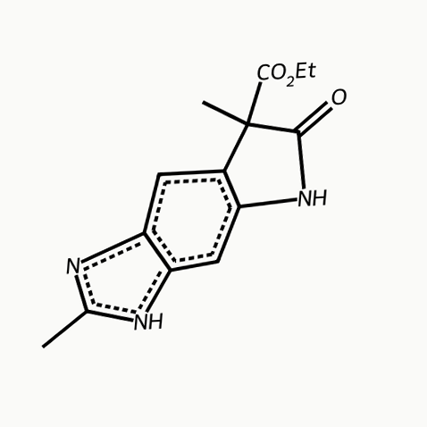 CCOC(=O)C1(C)C(=O)Nc2cc3[nH]c(C)nc3cc21